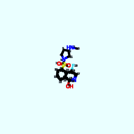 CN[C@H]1CCN(S(=O)(=O)c2cccc3c(O)ncc(F)c23)C1